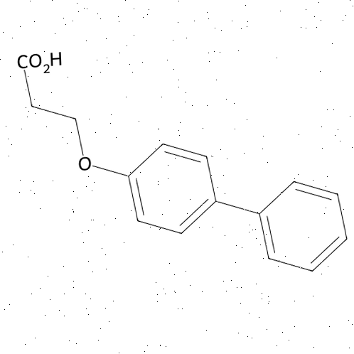 O=C(O)CCOc1ccc(-c2ccccc2)cc1